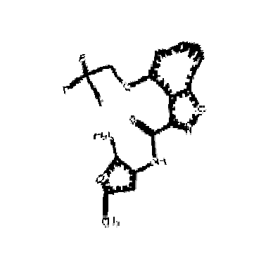 Cc1cc(NC(=O)c2noc3cccc(OCC(F)(F)F)c23)c(C)o1